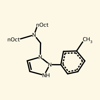 CCCCCCCCN(CCCCCCCC)CN1C=CNN1c1cccc(C)c1